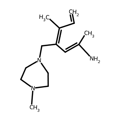 C=C/C(C)=C(\C=C(/C)N)CN1CCN(C)CC1